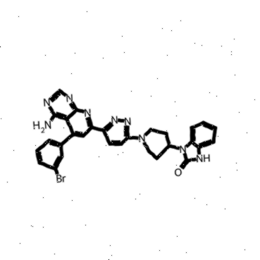 Nc1ncnc2nc(-c3ccc(N4CCC(n5c(=O)[nH]c6ccccc65)CC4)nn3)cc(-c3cccc(Br)c3)c12